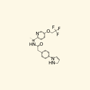 C[C@@H](NC(=O)Cc1ccc(N2C=CCN2)cc1)c1ccc(OCC(F)(F)F)cn1